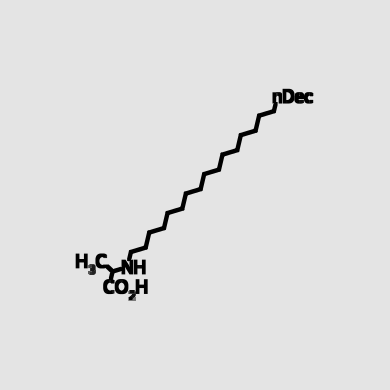 CCCCCCCCCCCCCCCCCCCCCCCCCCNC(C)C(=O)O